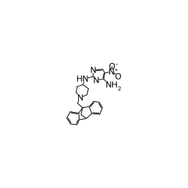 Nc1nc(NC2CCN(CC34CC(c5ccccc53)c3ccccc34)CC2)ncc1[N+](=O)[O-]